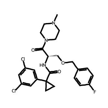 CN1CCN(C(=O)[C@H](COCc2ccc(F)cc2)NC(=O)C2(c3cc(Cl)cc(Cl)c3)CC2)CC1